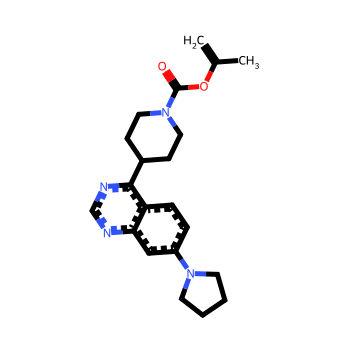 C=C(C)OC(=O)N1CCC(c2ncnc3cc(N4CCCC4)ccc23)CC1